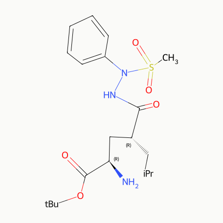 CC(C)C[C@H](C[C@@H](N)C(=O)OC(C)(C)C)C(=O)NN(c1ccccc1)S(C)(=O)=O